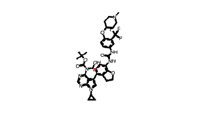 CN1CCC(Oc2ccc(NC(=O)Nc3ccc(-c4cn(C5CC5)c5ncnc(N(C(=O)O)C(=O)OC(C)(C)C)c45)c4c3OCC4)cc2C(F)(F)F)CC1